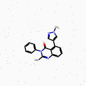 CCCc1nc2cccc(-c3cnn(C)c3)c2c(=O)n1-c1ccccc1